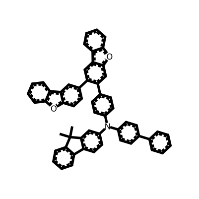 CC1(C)c2ccccc2-c2ccc(N(c3ccc(-c4ccccc4)cc3)c3ccc(-c4cc5oc6ccccc6c5cc4-c4ccc5oc6ccccc6c5c4)cc3)cc21